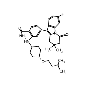 CN(C)CCO[C@H]1CC[C@H](Nc2cc(-c3c4n(c5cc(F)ccc35)C(=O)CC(C)(C)C4)ccc2C(N)=O)CC1